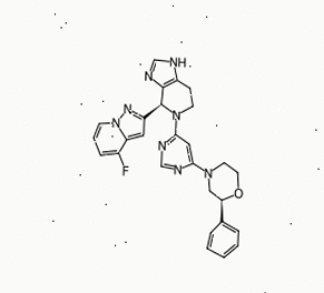 Fc1cccn2nc([C@H]3c4nc[nH]c4CCN3c3cc(N4CCO[C@@H](c5ccccc5)C4)ncn3)cc12